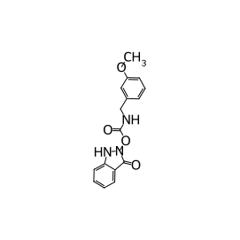 COc1cccc(CNC(=O)On2[nH]c3ccccc3c2=O)c1